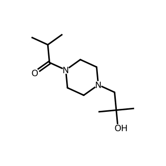 CC(C)C(=O)N1CCN(CC(C)(C)O)CC1